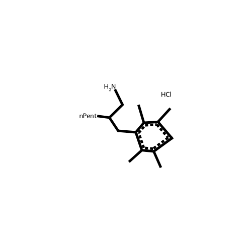 CCCCCC(CN)Cc1c(C)c(C)cc(C)c1C.Cl